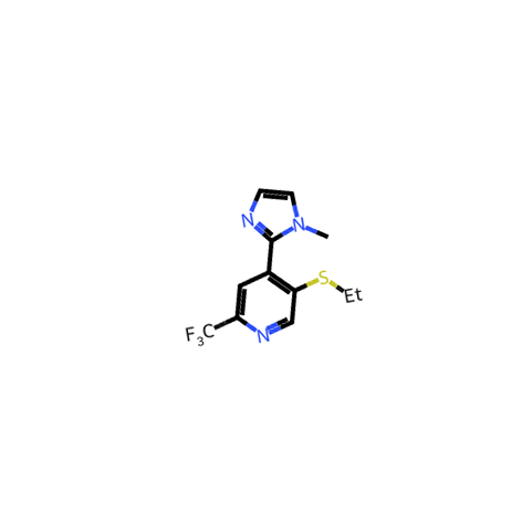 CCSc1cnc(C(F)(F)F)cc1-c1nccn1C